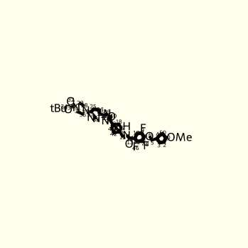 COc1ccc(COc2c(F)cc(C(=O)NCC34CCC(c5nc(-c6ccc(N7CCN(C(=O)OC(C)(C)C)CC7)nn6)no5)(CC3)CC4)c(F)c2F)cc1